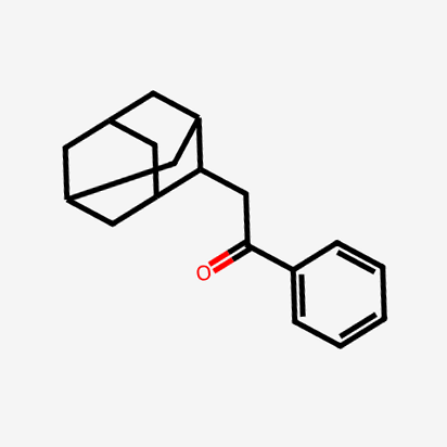 O=C(CC1C2CC3CC(C2)CC1C3)c1ccccc1